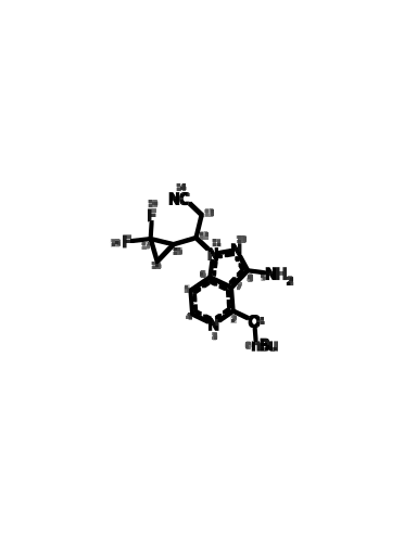 CCCCOc1nccc2c1c(N)nn2C(CC#N)C1CC1(F)F